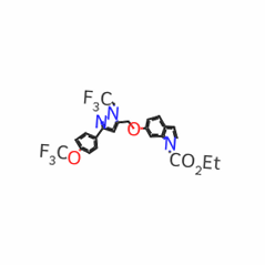 CCOC(=O)Cn1ccc2ccc(OCc3cc(-c4ccc(OC(F)(F)F)cc4)nn3CC(F)(F)F)cc21